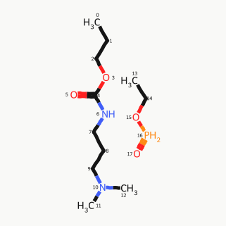 CCCOC(=O)NCCCN(C)C.CCO[PH2]=O